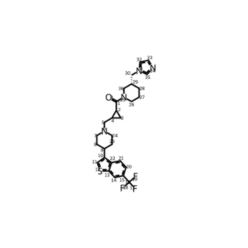 O=C(C1CC1CN1CCC(c2csc3cc(C(F)(F)F)ccc23)CC1)N1CCC[C@@H](Cn2ccnc2)C1